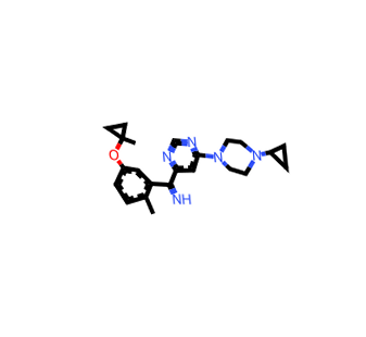 Cc1ccc(OC2(C)CC2)cc1C(=N)c1cc(N2CCN(C3CC3)CC2)ncn1